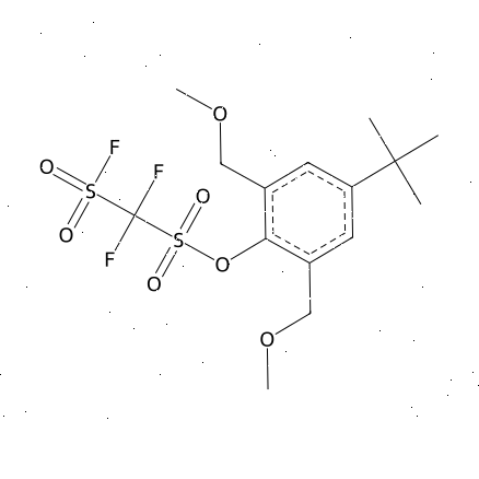 COCc1cc(C(C)(C)C)cc(COC)c1OS(=O)(=O)C(F)(F)S(=O)(=O)F